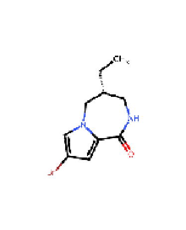 CC[C@@H]1CNC(=O)c2cc(Br)cn2C1